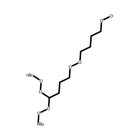 CCCCOOC(CCCOOCCCCO[O])OOCCCC